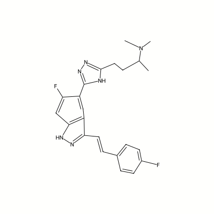 CC(CCc1nnc(-c2cc3c(C=Cc4ccc(F)cc4)n[nH]c3cc2F)[nH]1)N(C)C